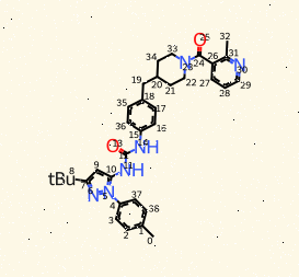 Cc1ccc(-n2nc(C(C)(C)C)cc2NC(=O)Nc2ccc(CC3CCN(C(=O)c4cccnc4C)CC3)cc2)cc1